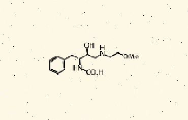 COCCNC[C@H](O)[C@H](Cc1ccccc1)NC(=O)O